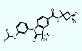 CC1(NC(=O)c2ccc3c(c2)[C@](O)(C(F)(F)F)C(=O)N3c2cccc(OC(F)F)c2)CS(=O)(=O)C1